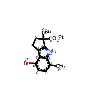 CCCCC1(C(=O)OCC)CCc2c1[nH]c1c(C)ccc(Br)c21